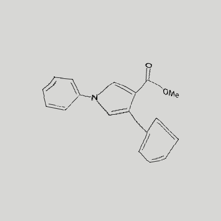 COC(=O)c1cn(-c2ccccc2)cc1-c1ccccc1